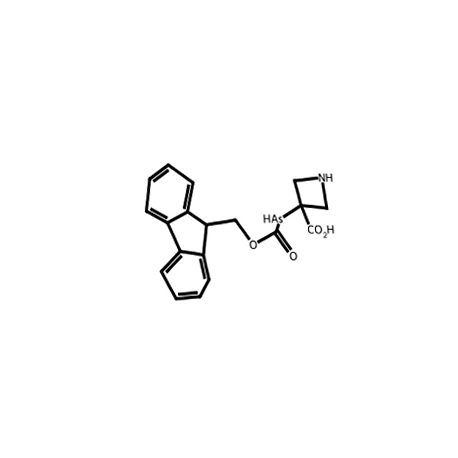 O=C(OCC1c2ccccc2-c2ccccc21)[AsH]C1(C(=O)O)CNC1